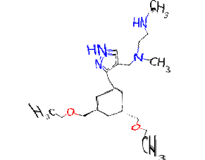 CCOC[C@H]1CC(c2n[nH]cc2CN(C)CCNC)C[C@H](COCC)C1